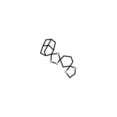 C1CC2(CC3(C1)OOC1(O3)C3CC4CC(C3)CC1C4)OCCO2